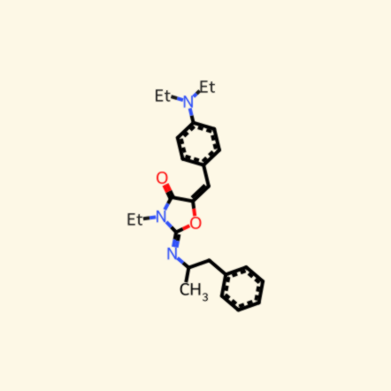 CCN1C(=O)/C(=C\c2ccc(N(CC)CC)cc2)OC1=NC(C)Cc1ccccc1